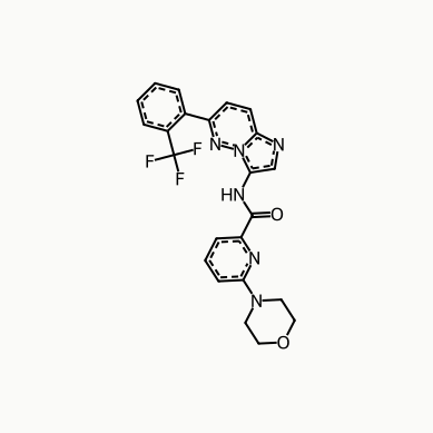 O=C(Nc1cnc2ccc(-c3ccccc3C(F)(F)F)nn12)c1cccc(N2CCOCC2)n1